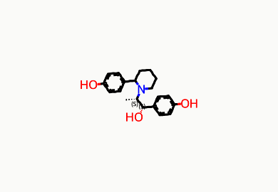 C[C@@H]([C@@H](O)c1ccc(O)cc1)N1CCCCC1c1ccc(O)cc1